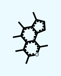 Cc1oc(C)c2c(c1C)c(C)c(C)c1c(C)ccc12